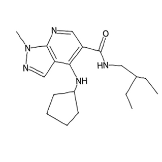 CCC(CC)CNC(=O)c1cnc2c(cnn2C)c1NC1CCCC1